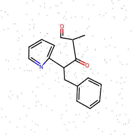 CC(C=O)C(=O)C(Cc1ccccc1)c1ccccn1